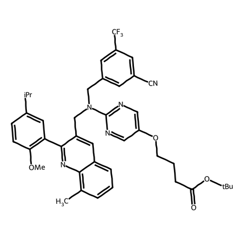 COc1ccc(C(C)C)cc1-c1nc2c(C)cccc2cc1CN(Cc1cc(C#N)cc(C(F)(F)F)c1)c1ncc(OCCCC(=O)OC(C)(C)C)cn1